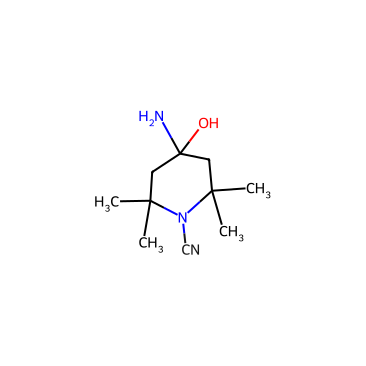 CC1(C)CC(N)(O)CC(C)(C)N1C#N